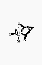 CCCC(=O)OO.O=c1[nH]c(=O)n2cc1-2